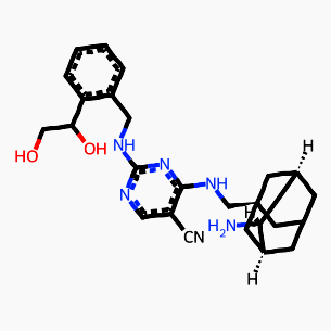 N#Cc1cnc(NCc2ccccc2C(O)CO)nc1NC[C@]12CC3C[C@H](C1)[C@@H](N)[C@@H](C3)C2